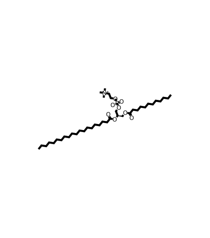 CCCCCCCCCCCCCCCCCCCC(=O)O[C@H](COC(=O)CCCCCCCCCCC)COP(=O)([O-])OCC[N+](C)(C)C